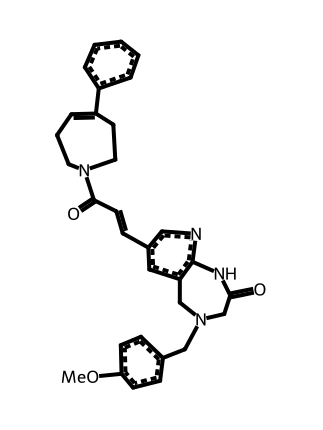 COc1ccc(CN2CC(=O)Nc3ncc(/C=C/C(=O)N4CCC=C(c5ccccc5)CC4)cc3C2)cc1